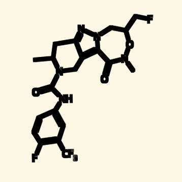 CC1Cc2nn3c(c2CN1C(=O)Nc1ccc(F)c(C(F)(F)F)c1)C(=O)N(C)OC(CF)C3